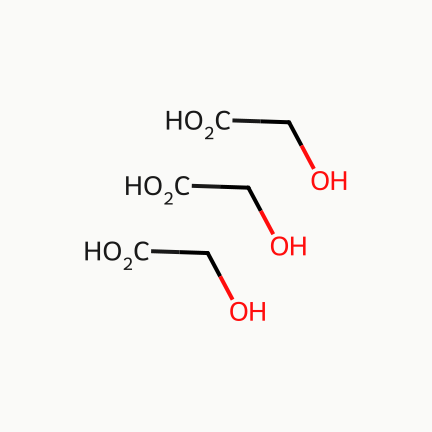 O=C(O)CO.O=C(O)CO.O=C(O)CO